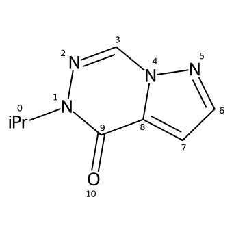 CC(C)n1ncn2nccc2c1=O